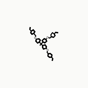 C=CC1=CC=C(COc2ccc(C(C)(c3ccc(OCc4ccc(C=C)cc4)cc3)c3ccc(OCc4ccc(C=C)cc4)cc3)cc2)CC1